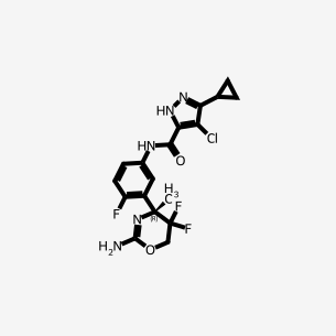 C[C@]1(c2cc(NC(=O)c3[nH]nc(C4CC4)c3Cl)ccc2F)N=C(N)OCC1(F)F